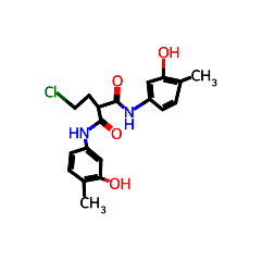 Cc1ccc(NC(=O)C(CCCl)C(=O)Nc2ccc(C)c(O)c2)cc1O